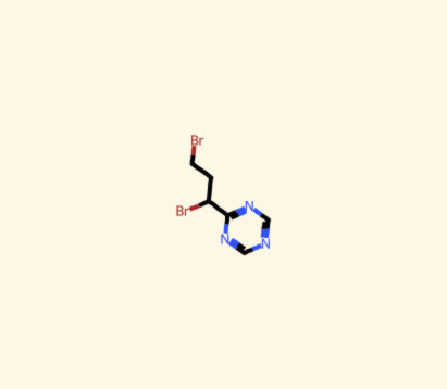 BrCCC(Br)c1ncncn1